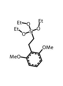 CCO[Si](CCc1c(OC)cccc1OC)(OCC)OCC